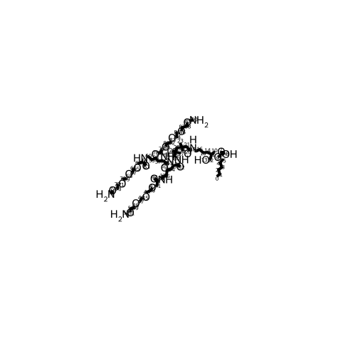 CCCCCCP(=O)(O)OCC(CO)CCCCNC(=O)CC(C)(C)CC(C)(C)CNC(=O)C(CCCCNC(=O)COCCOCCOCCON)NC(=O)C(CCCCNC(=O)COCCOCCOCCON)NC(=O)COCCOCCOCCON